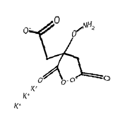 NOC(CC(=O)[O-])(CC(=O)[O-])C(=O)[O-].[K+].[K+].[K+]